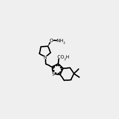 CC1(C)CCc2sc(CN3CC[C@@H](ON)C3)c(C(=O)O)c2C1